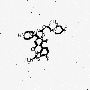 C[C@@H](CN1CCC(F)(F)CC1)Oc1nc(N2C3CCC2CNC3)c2cc(Cl)c(-c3ccc(F)c4sc(N)nc34)c(F)c2n1